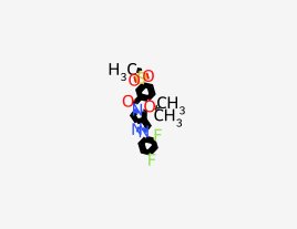 CCS(=O)(=O)c1ccc(OC(C)C)c(C(=O)N2Cc3cn(-c4ccc(F)cc4F)nc3C2)c1